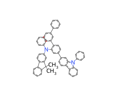 CC1(C)c2ccccc2-c2ccc(N(c3ccccc3)c3cc(-c4ccc5c6ccccc6n(-c6ccccc6)c5c4)ccc3-c3cccc(-c4ccccc4)c3)cc21